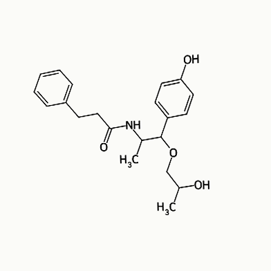 CC(O)COC(c1ccc(O)cc1)C(C)NC(=O)CCc1ccccc1